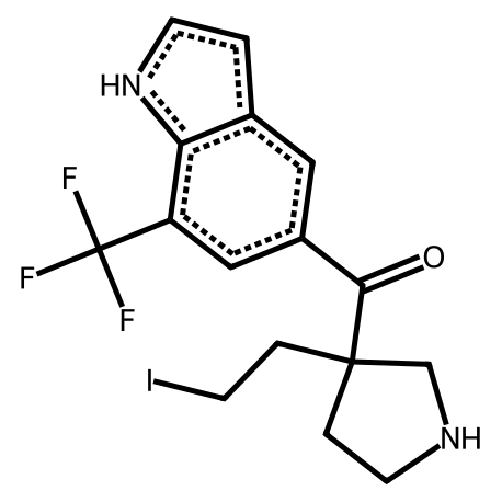 O=C(c1cc(C(F)(F)F)c2[nH]ccc2c1)C1(CCI)CCNC1